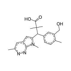 Cc1cc2cc(C(c3ccc(C)c(CO)c3)C(C)(C)C(=O)O)n(C)c2nn1